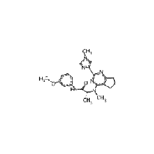 COc1cccc(NC(=O)[C@@H](C)N(C)c2nc(-c3cn(C)cn3)nc3c2CCC3)c1